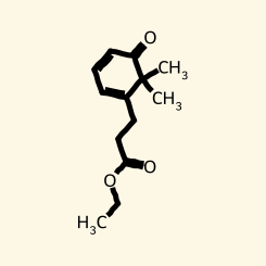 CCOC(=O)CCC1=CC=CC(=O)C1(C)C